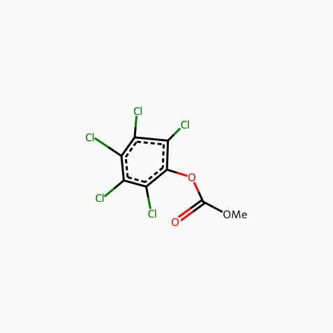 COC(=O)Oc1c(Cl)c(Cl)c(Cl)c(Cl)c1Cl